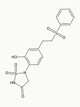 O=C1CN(c2ccc(CCS(=O)(=O)c3ccccc3)cc2O)S(=O)(=O)N1